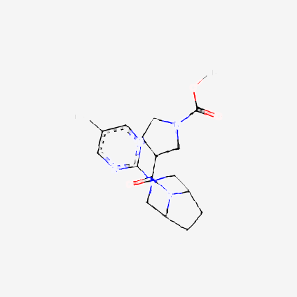 CC(C)(C)OC(=O)N1CCC(C(=O)N2C3CCC2CN(c2ncc(C(F)(F)F)cn2)C3)C1